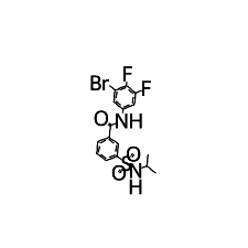 CC(C)NS(=O)(=O)c1cccc(C(=O)Nc2cc(F)c(F)c(Br)c2)c1